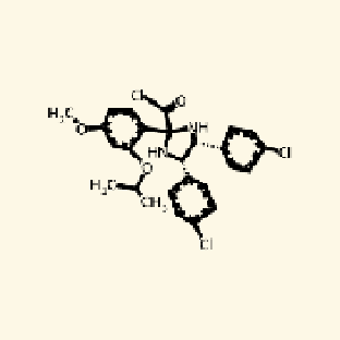 COc1ccc(C2(C(=O)Cl)N[C@H](c3ccc(Cl)cc3)[C@H](c3ccc(Cl)cc3)N2)c(OC(C)C)c1